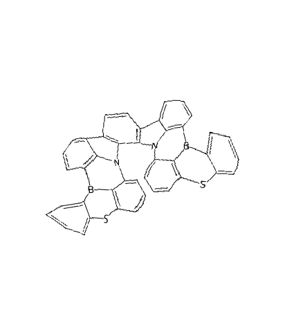 c1ccc2c(c1)Sc1cccc3c1B2c1cccc2c4ccc5c6cccc7c6n(c5c4n-3c12)-c1cccc2c1B7c1ccccc1S2